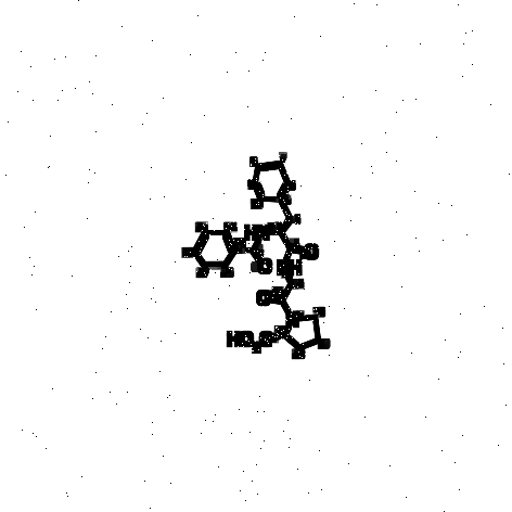 O=C(N[C@@H](Cc1ccccc1)C(=O)NCC(=O)N1CCC[C@H]1C(=O)O)c1ccccc1